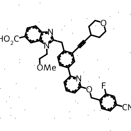 COCCn1c(Cc2ccc(-c3cccc(OCc4ccc(C#N)cc4F)n3)cc2C#CC2CCOCC2)nc2ccc(C(=O)O)cc21